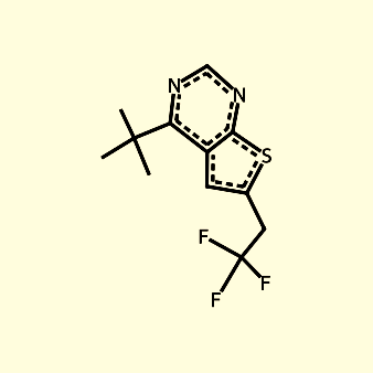 CC(C)(C)c1ncnc2sc(CC(F)(F)F)cc12